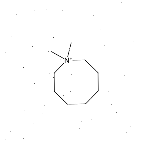 [CH2][N+]1(C)CCCCCCC1